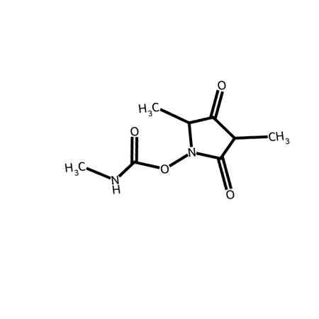 CNC(=O)ON1C(=O)C(C)C(=O)C1C